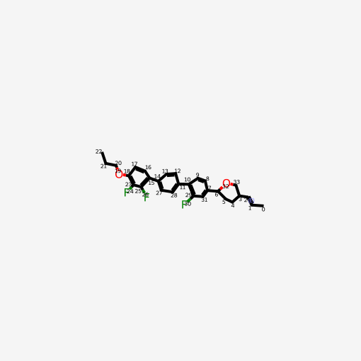 C/C=C/C1CCC(c2ccc(-c3ccc(-c4ccc(OCCC)c(F)c4F)cc3)c(F)c2)OC1